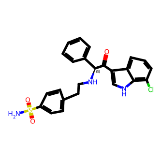 NS(=O)(=O)c1ccc(CCN[C@H](C(=O)c2c[nH]c3c(Cl)cccc23)c2ccccc2)cc1